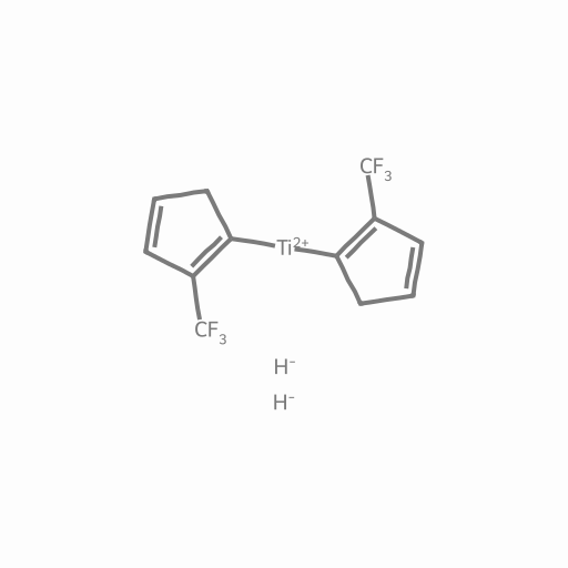 FC(F)(F)C1=[C]([Ti+2][C]2=C(C(F)(F)F)C=CC2)CC=C1.[H-].[H-]